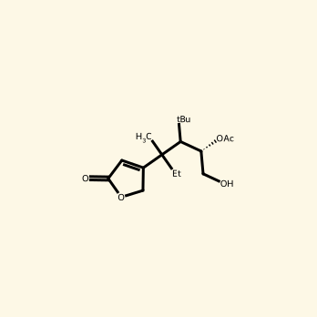 CCC(C)(C1=CC(=O)OC1)C([C@@H](CO)OC(C)=O)C(C)(C)C